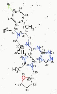 Cc1nc2c(N3C[C@@H](C)N([C@H](c4cccc(F)c4)C(C)C)C[C@@H]3C)nc3nncn3c2n1C[C@@H]1CCCO1